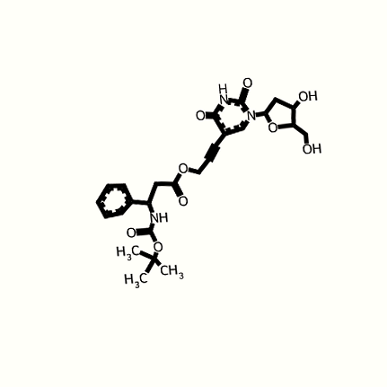 CC(C)(C)OC(=O)NC(CC(=O)OCC#Cc1cn(C2CC(O)C(CO)O2)c(=O)[nH]c1=O)c1ccccc1